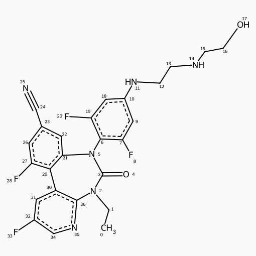 CCN1C(=O)N(c2c(F)cc(NCCNCCO)cc2F)c2cc(C#N)cc(F)c2-c2cc(F)cnc21